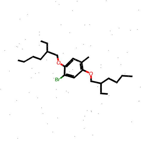 CCCCC(CC)COc1cc(Br)c(OCC(CC)CCCC)cc1C